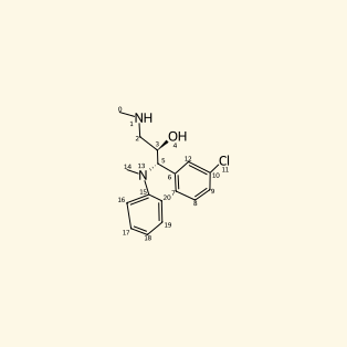 CNC[C@@H](O)[C@H](c1cccc(Cl)c1)N(C)c1ccccc1